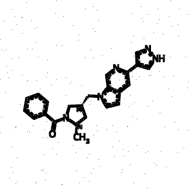 C[C@H]1C[C@@H](Cn2ccc3cc(-c4cn[nH]c4)ncc32)CN1C(=O)c1ccccc1